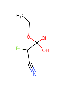 CCOC(O)(O)C(F)C#N